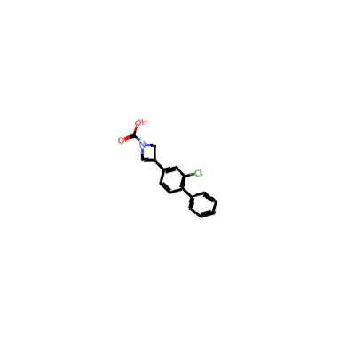 O=C(O)N1CC(c2ccc(-c3ccccc3)c(Cl)c2)C1